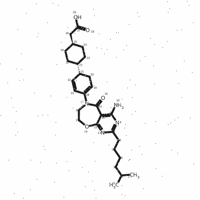 CC(C)CCCCc1nc(N)c2c(n1)OCCN(C1=CCC([C@H]3CC[C@H](CC(=O)O)CC3)C=C1)C2=O